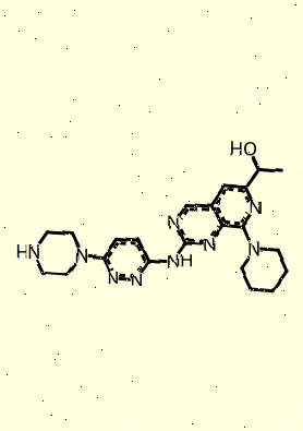 CC(O)c1cc2cnc(Nc3ccc(N4CCNCC4)nn3)nc2c(N2CCCCC2)n1